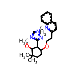 COC1C(c2ncn(C)n2)C(OCCc2ccc3ccccc3n2)CCC1(C)C